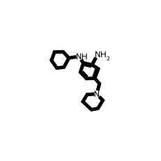 Nc1cc(CN2CCCCC2)ccc1NC1CCCCC1